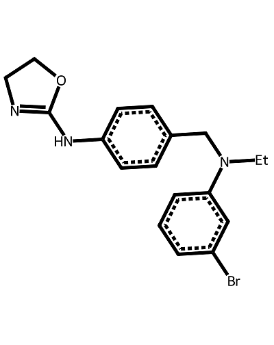 CCN(Cc1ccc(NC2=NCCO2)cc1)c1cccc(Br)c1